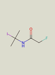 CC(C)(I)NC(=O)CF